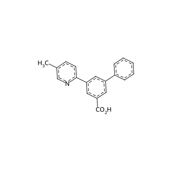 Cc1ccc(-c2cc(C(=O)O)cc(-c3ccccc3)c2)nc1